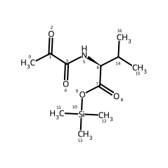 CC(=O)C(=O)N[C@H](C(=O)O[Si](C)(C)C)C(C)C